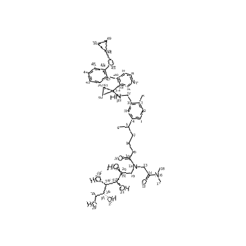 Cc1ccc(C(C)CCCC(=O)N(CC(=O)N(C)C)C[C@H](O)C(O)C(O)[C@H](O)CO)cc1CNC1(c2cnccc2-c2ccccc2OC2CC2)CC1